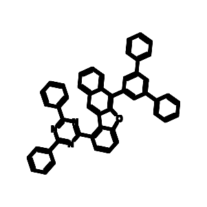 c1ccc(-c2cc(-c3ccccc3)cc(-c3c4ccccc4cc4c3oc3cccc(-c5nc(-c6ccccc6)nc(-c6ccccc6)n5)c34)c2)cc1